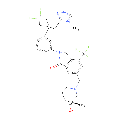 Cn1cnnc1CC1(c2cccc(N3Cc4c(cc(CN5CCC[C@@](C)(O)C5)cc4C(F)(F)F)C3=O)c2)CC(F)(F)C1